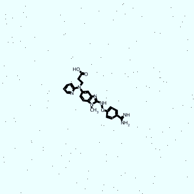 Cn1c(NOc2ccc(C(=N)N)cc2)nc2cc(N(CCC(=O)O)c3ccccn3)ccc21